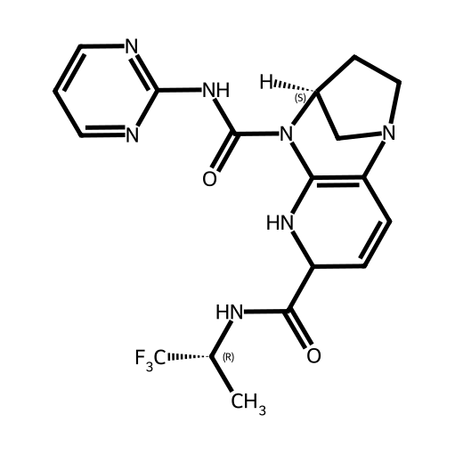 C[C@@H](NC(=O)C1C=CC2=C(N1)N(C(=O)Nc1ncccn1)[C@H]1CCN2C1)C(F)(F)F